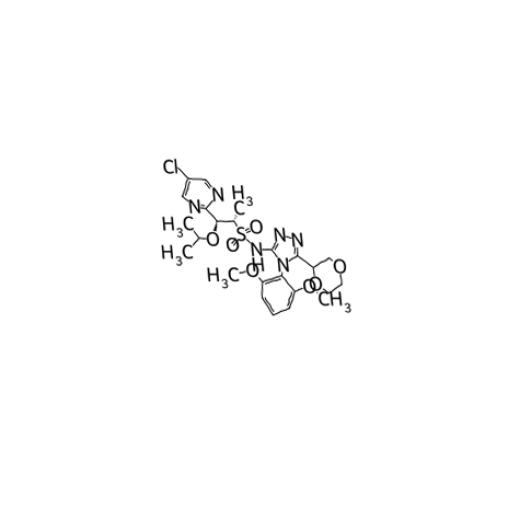 COc1cccc(OC)c1-n1c(NS(=O)(=O)[C@@H](C)[C@@H](OC(C)C)c2ncc(Cl)cn2)nnc1C1COCCO1